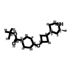 C[C@@H]1CN(C2CC(OC3CCN(C(=O)OC(C)(C)C)CC3)C2)CCN1